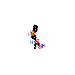 CCCCC(NC(=O)c1ccc(NS(=O)(=O)c2ccc3ccccc3c2)cc1)C(=O)CNS(C)(=O)=O